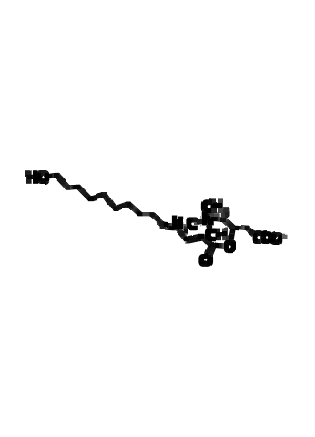 C[N+](C)(C)CC(CC(=O)[O-])OC(=O)C=CC=CCCCCCCCCCO